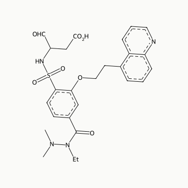 CCN(C(=O)c1ccc(S(=O)(=O)NC(C=O)CC(=O)O)c(OCCc2cccc3ncccc23)c1)N(C)C